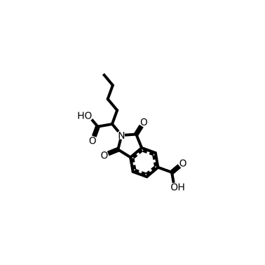 CCCCC(C(=O)O)N1C(=O)c2ccc(C(=O)O)cc2C1=O